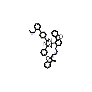 C=c1/c(=C\C=C/Cc2ccc3oc4ccccc4c3c2-c2nc(-c3ccccc3)nc(-c3ccc(-c4ccccc4/C=C\C)cc3)n2)oc2ccccc12